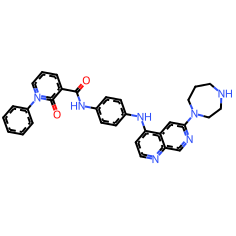 O=C(Nc1ccc(Nc2ccnc3cnc(N4CCCNCC4)cc23)cc1)c1cccn(-c2ccccc2)c1=O